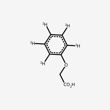 [2H]c1c([2H])c([2H])c(OCC(=O)O)c([2H])c1[2H]